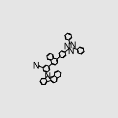 N#Cc1cc(-c2ccc(-c3ccc(-c4nc(-c5ccccc5)nc(-c5ccccc5)n4)cc3)c3ccccc23)cc(-n2c3ccccc3c3ccc4c(c32)C=CCC4)c1